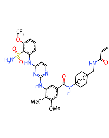 C=CC(=O)NCC12CCC(NC(=O)c3cc(Nc4nccc(Nc5cccc(OC(F)(F)F)c5S(N)(=O)=O)n4)c(OC)c(OC)c3)(CC1)CC2